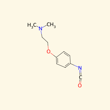 CN(C)CCOc1ccc(N=C=O)cc1